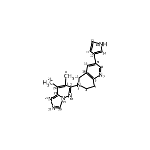 Cc1c(N2CCc3ncc(-c4cc[nH]c4)cc3C2)nn2cnnc2c1C